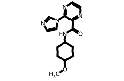 COC1CCC(NC(=O)c2nccnc2-n2ccnc2)CC1